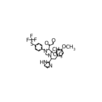 COc1ccc(CC(c2ncc[nH]2)N2CN(c3ccc(SC(F)(F)F)cc3)C(C(=O)C=O)C2(C)C)cc1